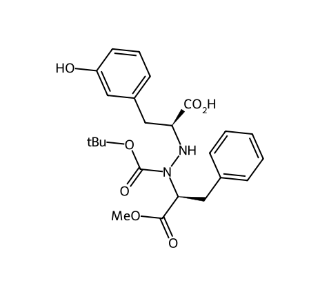 COC(=O)[C@H](Cc1ccccc1)N(N[C@@H](Cc1cccc(O)c1)C(=O)O)C(=O)OC(C)(C)C